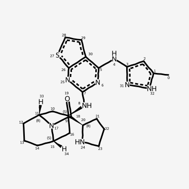 Cc1cc(Nc2nc(N[C@@H]3C[C@H]4CCC[C@@H](C3)N4C(=O)[C@H]3CCCN3)nc3sccc23)n[nH]1